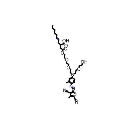 CCCCC/C=C/CC(CC(=O)OCCOCCOCCN(CCOCCO)c1ccc(/N=N/c2sc(C#N)c(C)c2C#N)c(C)c1)C(=O)O